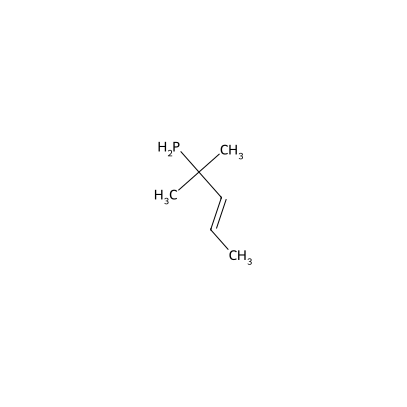 CC=CC(C)(C)P